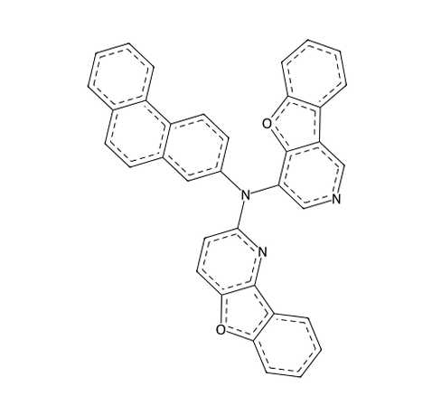 c1ccc2c(c1)ccc1cc(N(c3ccc4oc5ccccc5c4n3)c3cncc4c3oc3ccccc34)ccc12